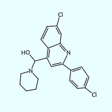 OC(c1cc(-c2ccc(Cl)cc2)nc2cc(Cl)ccc12)N1CCCCC1